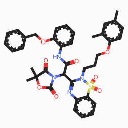 Cc1ccc(OCCCN2C(C(C(=O)Nc3ccccc3OCc3ccccc3)N3C(=O)OC(C)(C)C3=O)=Nc3ccccc3S2(=O)=O)c(C)c1